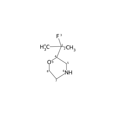 CC(C)(F)C1CNCCO1